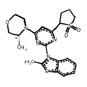 Cc1nc2ccccc2n1-c1nc(C2CCCS2(=O)=O)cc(N2CCOC[C@H]2C)n1